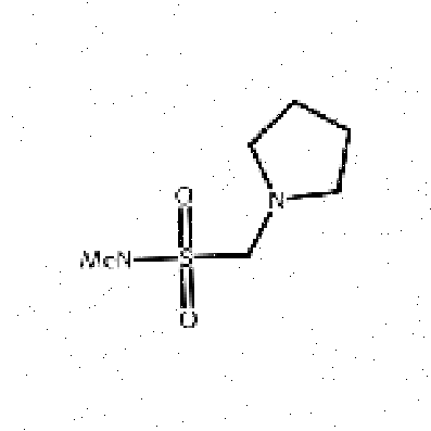 CNS(=O)(=O)CN1CCCC1